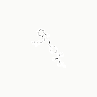 C=CC(=O)NC1CCN(C=Cc2oc3ccccc3[n+]2CC)CC1